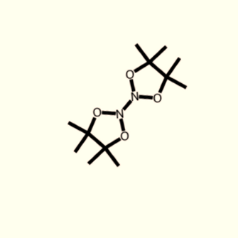 CC1(C)ON(N2OC(C)(C)C(C)(C)O2)OC1(C)C